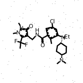 CCN(c1cc(Cl)cc(C(=O)NCc2c(C(C)(F)F)n(C)n(C)c2=O)c1C)[C@H]1CC[C@H](N(C)C)CC1